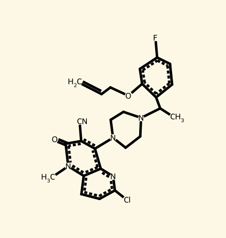 C=CCOc1cc(F)ccc1C(C)N1CCN(c2c(C#N)c(=O)n(C)c3ccc(Cl)nc23)CC1